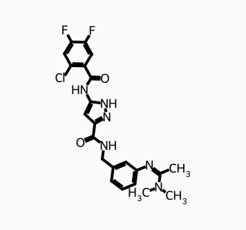 CC(=Nc1cccc(CNC(=O)c2cc(NC(=O)c3cc(F)c(F)cc3Cl)[nH]n2)c1)N(C)C